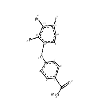 COC(=O)c1ccc(Oc2ccc(F)c(Br)c2F)cc1